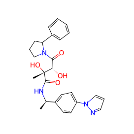 C[C@@H](NC(=O)[C@](C)(O)[C@@H](O)C(=O)N1CCCC1c1ccccc1)c1ccc(-n2cccn2)cc1